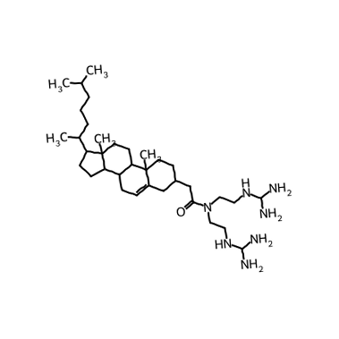 CC(C)CCCC(C)C1CCC2C3CC=C4CC(CC(=O)N(CCNC(N)N)CCNC(N)N)CCC4(C)C3CCC12C